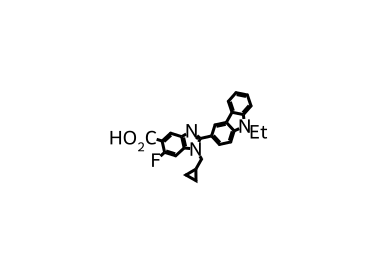 CCn1c2ccccc2c2cc(-c3nc4cc(C(=O)O)c(F)cc4n3CC3CC3)ccc21